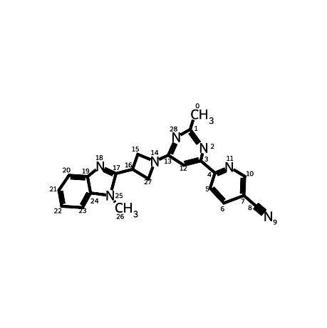 Cc1nc(-c2ccc(C#N)cn2)cc(N2CC(c3nc4ccccc4n3C)C2)n1